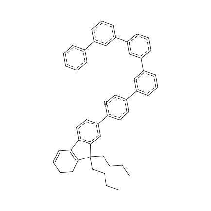 CCCCC1(CCCC)C2=C(C=CCC2)c2ccc(-c3ccc(-c4cccc(-c5cccc(-c6cccc(-c7ccccc7)c6)c5)c4)cn3)cc21